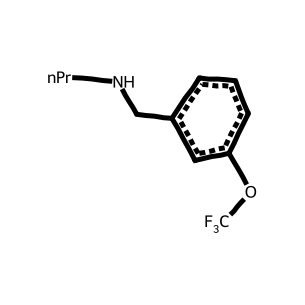 CCCNCc1cccc(OC(F)(F)F)c1